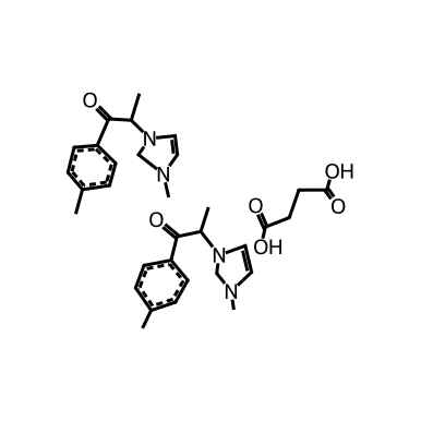 Cc1ccc(C(=O)C(C)N2C=CN(C)C2)cc1.Cc1ccc(C(=O)C(C)N2C=CN(C)C2)cc1.O=C(O)CCC(=O)O